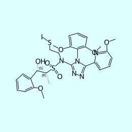 COc1cccc(-c2nnc(N(CCSI)S(=O)(=O)[C@H](C)[C@@H](O)c3ccccc3OC)n2-c2c(OC)cccc2OC)n1